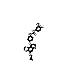 O=C(Nc1ccc(Oc2ccnc3cc(OCC4CC4)c4c(c23)OCCO4)cc1)Nc1ccc(Cl)c(C(F)(F)F)c1